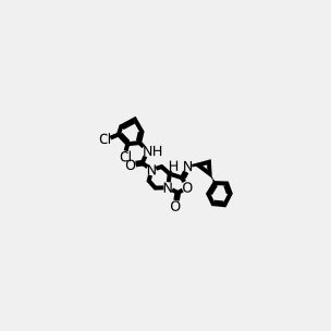 O=C(Nc1cccc(Cl)c1Cl)N1CCN2C(=O)OC(=N[C@H]3C[C@@H]3c3ccccc3)[C@@H]2C1